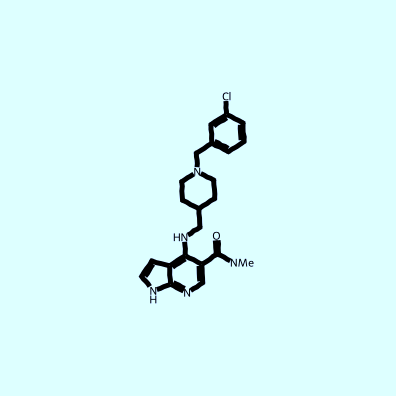 CNC(=O)c1cnc2[nH]ccc2c1NCC1CCN(Cc2cccc(Cl)c2)CC1